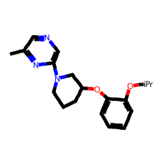 Cc1cncc(N2CCCC(Oc3ccccc3OC(C)C)C2)n1